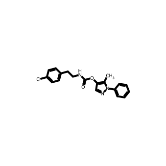 Cc1c(OC(=O)NCCc2ccc(Cl)cc2)cnn1-c1ccccc1